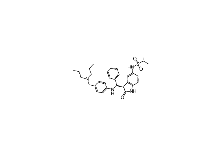 CCCN(CCC)Cc1ccc(N/C(=C2\C(=O)Nc3ccc(NS(=O)(=O)C(C)C)cc32)c2ccccc2)cc1